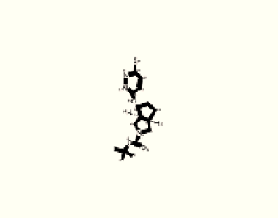 CC(C)(C)OC(=O)N1C[C@@H]2CC[C@@H](Oc3ccc(Br)nn3)[C@@H]2C1